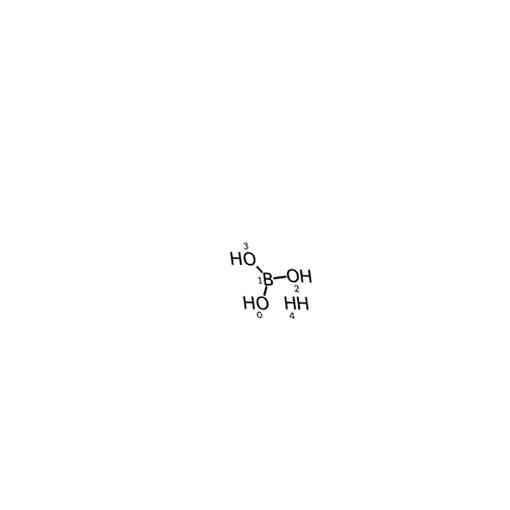 OB(O)O.[HH]